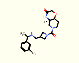 O=C1COC2CCN(C(=O)N3CC(CNC(c4cccc(C(F)(F)F)c4)C(F)(F)F)C3)C[C@H]2N1